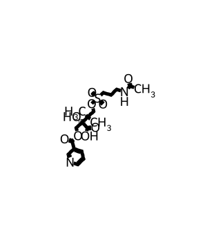 CC(=O)NCCCS(=O)(=O)OCC(C)(C)[C@@](O)(COC(=O)c1cccnc1)C(=O)O